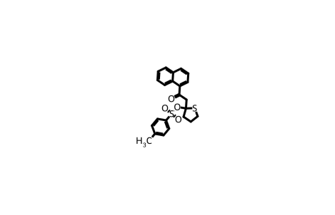 Cc1ccc(S(=O)(=O)OC2(CC(=O)c3cccc4ccccc34)CCCS2)cc1